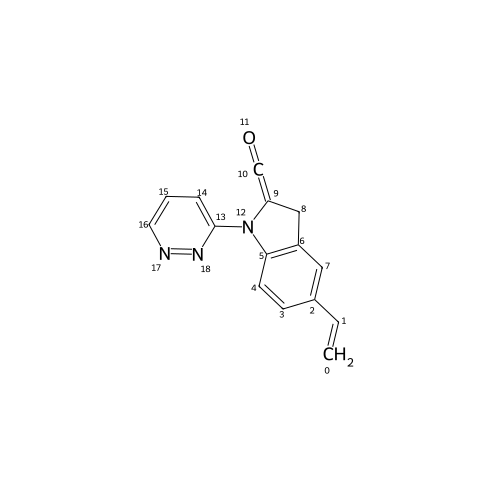 C=Cc1ccc2c(c1)CC(=C=O)N2c1cccnn1